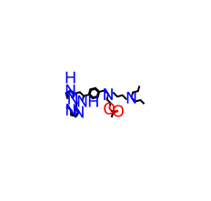 CCCN(CCC)CCCCN(CCOC(C)=O)Cc1ccc(C(Cc2ncc[nH]2)NCc2nccn2C)cc1